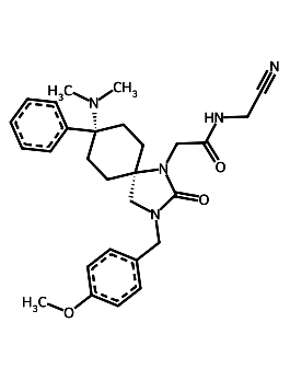 COc1ccc(CN2C[C@]3(CC[C@@](c4ccccc4)(N(C)C)CC3)N(CC(=O)NCC#N)C2=O)cc1